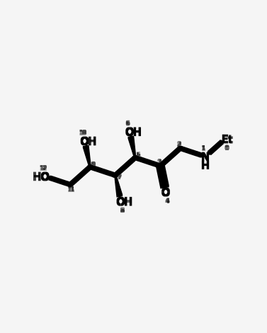 CCNCC(=O)[C@H](O)[C@@H](O)[C@H](O)CO